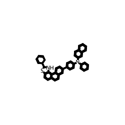 C1=CCC(C2Nc3c(ccc4ccc5cc(-c6ccc(N(c7ccccc7)c7ccc8ccccc8c7)cc6)ccc5c34)S2)C=C1